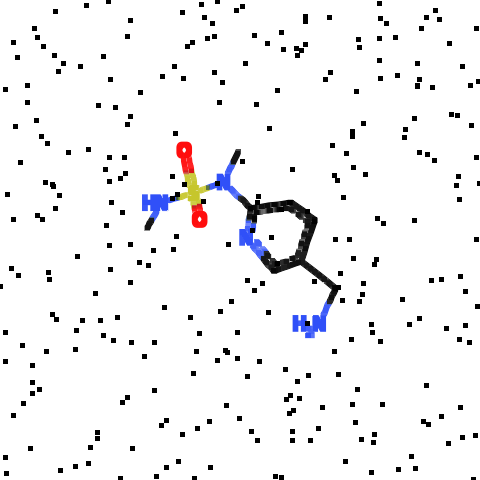 CNS(=O)(=O)N(C)c1ccc(CN)cn1